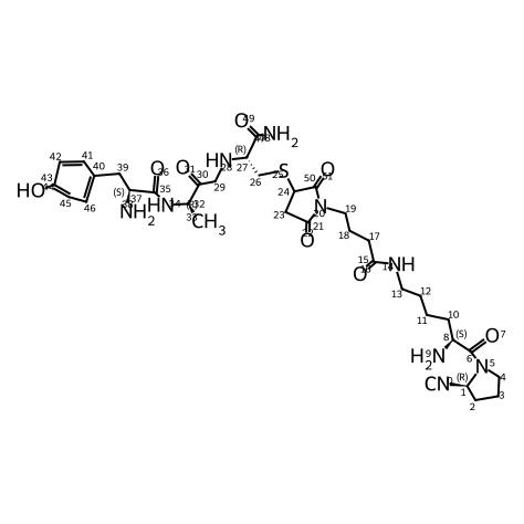 [C-]#[N+][C@@H]1CCCN1C(=O)[C@@H](N)CCCCNC(=O)CCCN1C(=O)CC(SC[C@H](NCC(=O)[C@@H](C)NC(=O)[C@@H](N)Cc2ccc(O)cc2)C(N)=O)C1=O